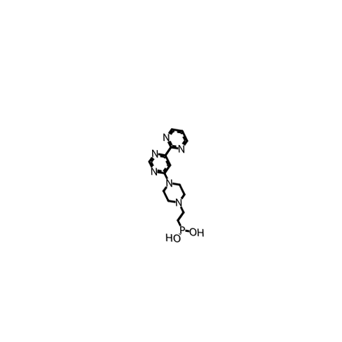 OP(O)CCN1CCN(c2cc(-c3ncccn3)ncn2)CC1